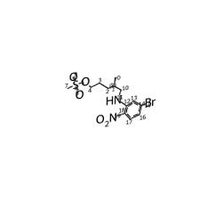 C[C@H](CCCOS(C)(=O)=O)CNc1cc(Br)ccc1[N+](=O)[O-]